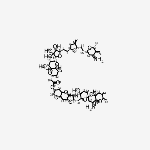 C=C1C[C@H](CC[C@H]2OC([C@H]3C[C@@H](O)[C@H]4O[C@@H](CC(=O)O[C@H]5COC6CC7O[C@@H](C[C@@H]8O[C@@]9(CC[C@@]8(O)NC)C[C@H](N)[C@@H]8O[C@H](C)CC[C@@H]8O9)CC7OC6C5)CC[C@@H]4O3)C(O)(O)[C@H]2O)O[C@H]1CC[C@H]1C[C@@H](N)C(=C)[C@@H](C)O1